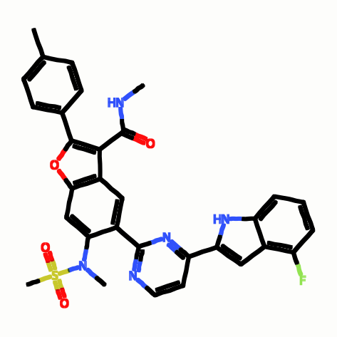 CNC(=O)c1c(-c2ccc(C)cc2)oc2cc(N(C)S(C)(=O)=O)c(-c3nccc(-c4cc5c(F)cccc5[nH]4)n3)cc12